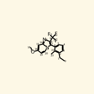 CCc1cccc(-c2c(C(F)(F)F)nc3cc(OC)ccn23)c1C